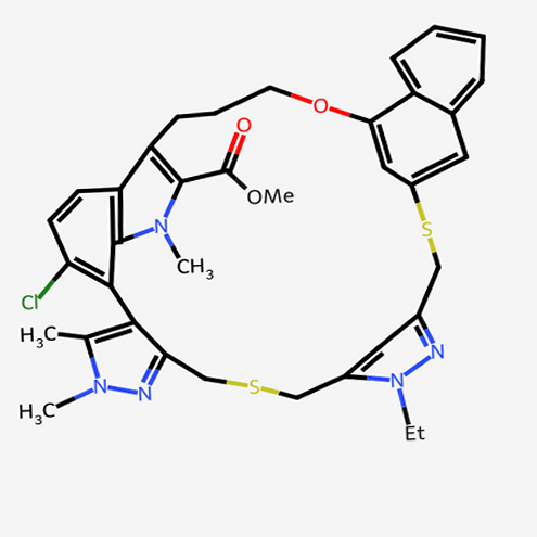 CCn1nc2cc1CSCc1nn(C)c(C)c1-c1c(Cl)ccc3c(c(C(=O)OC)n(C)c13)CCCOc1cc(cc3ccccc13)SC2